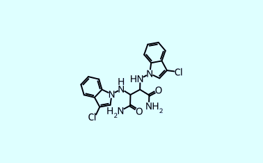 NC(=O)C(Nn1cc(Cl)c2ccccc21)C(Nn1cc(Cl)c2ccccc21)C(N)=O